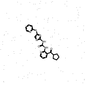 O=C(Nc1ncc(Sc2ccccn2)s1)Nc1ncccc1C(=O)C1CCCC1